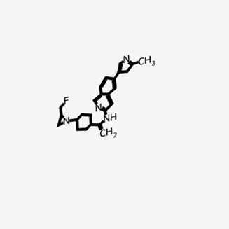 C=C(Nc1cc2cc(C3=CN=C(C)C3)ccc2cn1)C1CCC(N2CC2CF)CC1